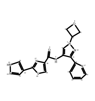 O=C(Nc1cn(C2COC2)nc1-c1ccccn1)c1csc(-c2cn[nH]c2)n1